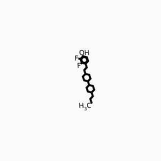 CCCCC1CCC(C2CCC(CCc3ccc(O)c(F)c3F)CC2)CC1